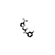 O=C(Cn1ccc([N+](=O)[O-])n1)Nc1cccc(F)c1